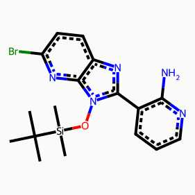 CC(C)(C)[Si](C)(C)On1c(-c2cccnc2N)nc2ccc(Br)nc21